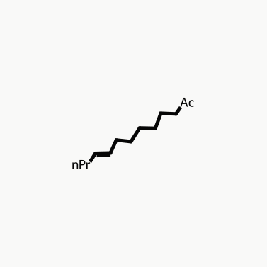 CCC/C=C/CCCCCCC(C)=O